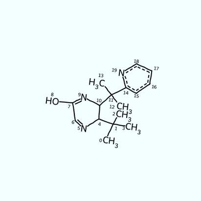 CC(C)(C)C1N=CC(O)=NC1C(C)(C)c1ccccn1